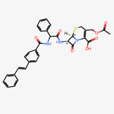 CC(=O)OCC1=C(C(=O)O)N2C(=O)[C@@H](NC(=O)C(NC(=O)c3ccc(C=Cc4ccccc4)cc3)c3ccccc3)[C@H]2SC1